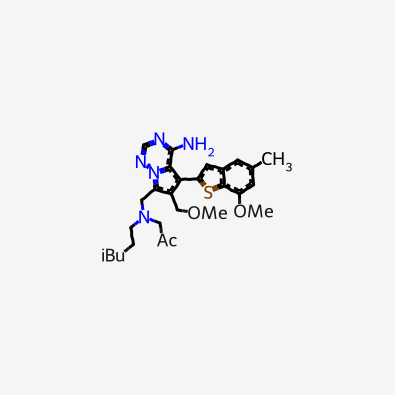 CCC(C)CCN(CC(C)=O)Cc1c(COC)c(-c2cc3cc(C)cc(OC)c3s2)c2c(N)ncnn12